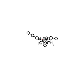 Cc1ccc2c(oc3cc(-c4ccccc4)ccc32)c1-c1n(-c2c(C(C)C)cc(-c3ccc(-c4ccc(-c5ccccc5)cc4)cc3)cc2C(C)C)c2ccccc2[n+]1C